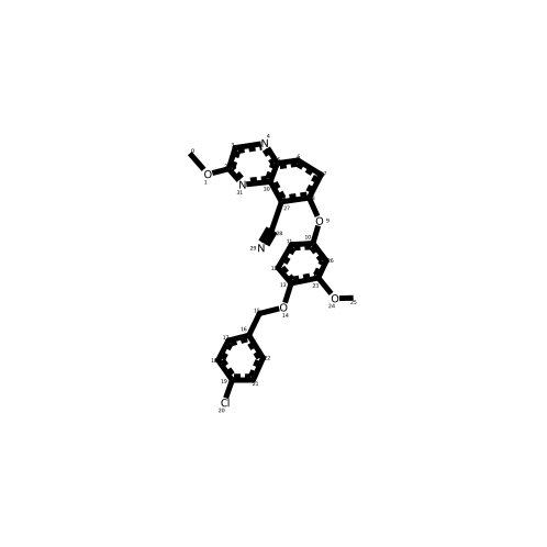 COc1cnc2ccc(Oc3ccc(OCc4ccc(Cl)cc4)c(OC)c3)c(C#N)c2n1